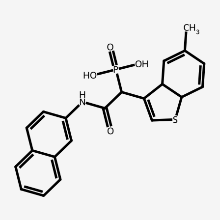 CC1=CC2C(C(C(=O)Nc3ccc4ccccc4c3)P(=O)(O)O)=CSC2C=C1